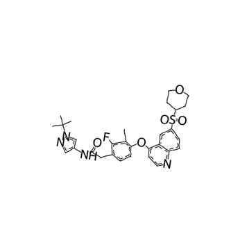 Cc1c(Oc2ccnc3ccc(S(=O)(=O)C4CCOCC4)cc23)ccc(CC(=O)Nc2cnn(C(C)(C)C)c2)c1F